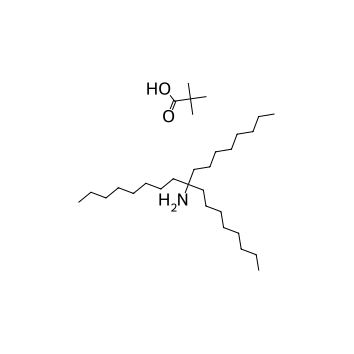 CC(C)(C)C(=O)O.CCCCCCCCC(N)(CCCCCCCC)CCCCCCCC